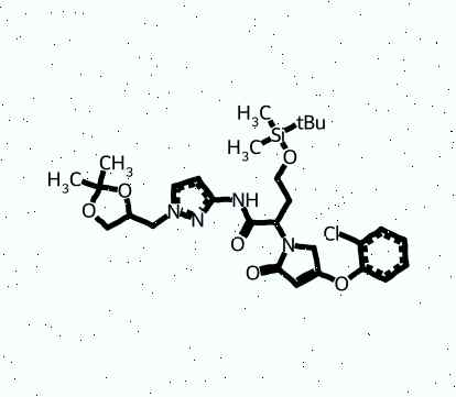 CC1(C)OCC(Cn2ccc(NC(=O)C(CCO[Si](C)(C)C(C)(C)C)N3CC(Oc4ccccc4Cl)=CC3=O)n2)O1